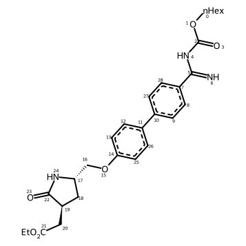 CCCCCCOC(=O)NC(=N)c1ccc(-c2ccc(OC[C@@H]3C[C@@H](CC(=O)OCC)C(=O)N3)cc2)cc1